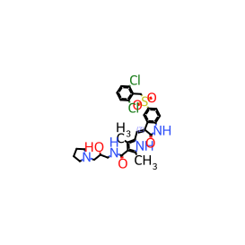 Cc1[nH]c(/C=C2\C(=O)Nc3ccc(S(=O)(=O)Cc4c(Cl)cccc4Cl)cc32)c(C)c1C(=O)NCC(O)CN1CCCC1